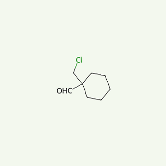 O=CC1(CCl)CCCCC1